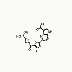 Cc1cc(-c2cnc3[nH]cc(C(=O)O)c3n2)sc1C(=O)N1CC(C(O)O)C1